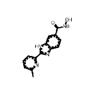 Cc1cccc(-c2nc3ccc(C(=O)NO)cc3[nH]2)n1